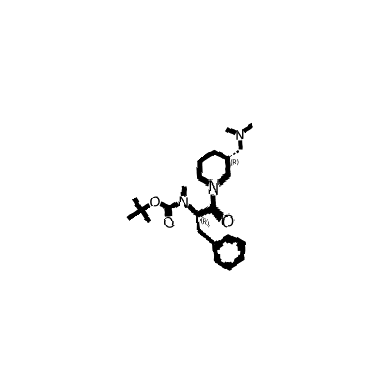 CN(C)C[C@H]1CCCN(C(=O)[C@@H](Cc2ccccc2)N(C)C(=O)OC(C)(C)C)C1